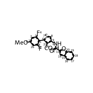 COc1cc(F)c(-c2scc(NC(=O)c3cc4ccccc4o3)c2C(=O)O)c(F)c1